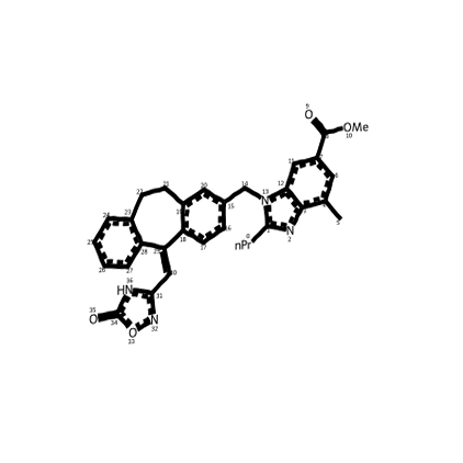 CCCc1nc2c(C)cc(C(=O)OC)cc2n1Cc1ccc2c(c1)CCc1ccccc1C2=Cc1noc(=O)[nH]1